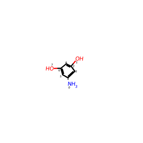 N.Oc1cccc(O)c1